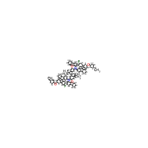 C=Cc1ccc(Oc2ccc(C3(c4ccc(F)cc4)c4ccccc4-c4ccc(N(c5ccc6c(c5)C5(CC6(C)C)CC(C)(C)c6ccc(N(c7ccc8c(c7)C(c7ccc(F)cc7)(c7ccc(Oc9ccc(C=C)cc9)cc7)c7ccccc7-8)c7cccc8c7oc7ccccc78)cc65)c5cccc6c5oc5ccccc56)cc43)cc2)cc1